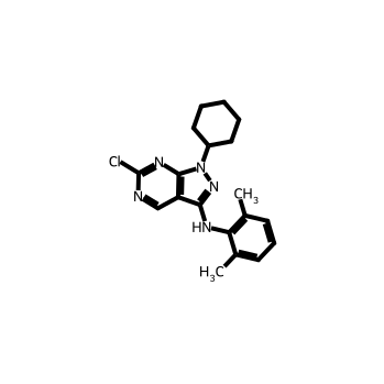 Cc1cccc(C)c1Nc1nn(C2CCCCC2)c2nc(Cl)ncc12